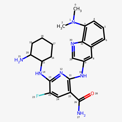 CN(C)c1cccc2cc(Nc3nc(NC4CCCCC4N)c(F)cc3C(N)=O)cnc12